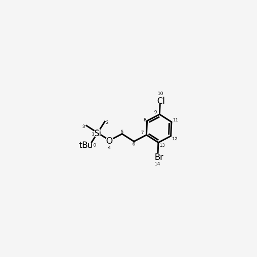 CC(C)(C)[Si](C)(C)OCCc1cc(Cl)ccc1Br